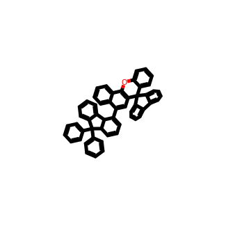 C1=CC2C(C(c3cc4c(c5ccccc35)Oc3ccccc3C43c4ccccc4-c4ccccc43)=C1)c1ccccc1C2(c1ccccc1)c1ccccc1